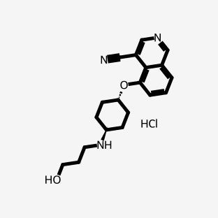 Cl.N#Cc1cncc2cccc(O[C@H]3CC[C@H](NCCCO)CC3)c12